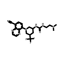 CN(C)CCNC(=O)NC1CC(C(F)(F)F)CN(c2ccc(C#N)c3nccnc23)C1